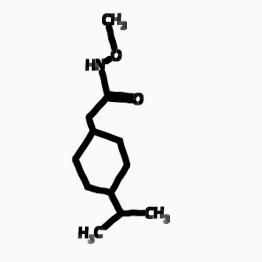 CONC(=O)CC1CCC(C(C)C)CC1